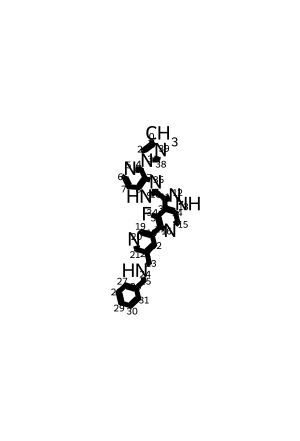 Cc1cn(-c2nccc3[nH]c(-c4n[nH]c5cnc(-c6cncc(CNCc7ccccc7)c6)c(F)c45)nc23)cn1